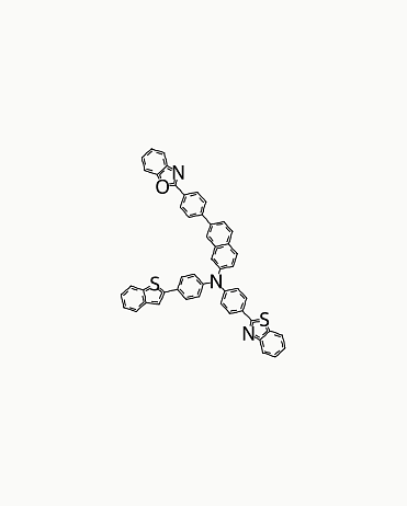 c1ccc2sc(-c3ccc(N(c4ccc(-c5nc6ccccc6s5)cc4)c4ccc5ccc(-c6ccc(-c7nc8ccccc8o7)cc6)cc5c4)cc3)cc2c1